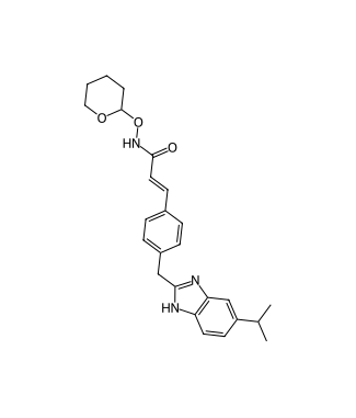 CC(C)c1ccc2[nH]c(Cc3ccc(/C=C/C(=O)NOC4CCCCO4)cc3)nc2c1